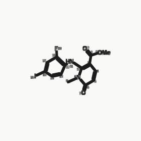 COC(=O)c1ccc(=O)n(C)c1Nc1ccc(I)cc1F